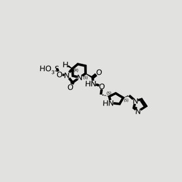 O=C(NOC[C@@H]1C[C@H](Cn2ccnc2)CN1)[C@@H]1CC[C@@H]2CN1C(=O)N2OS(=O)(=O)O